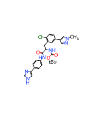 Cn1cc(-c2ccc(Cl)c(CC(NC(=O)OC(C)(C)C)C(=O)Nc3ccc(-c4c[nH]cn4)cc3)c2)cn1